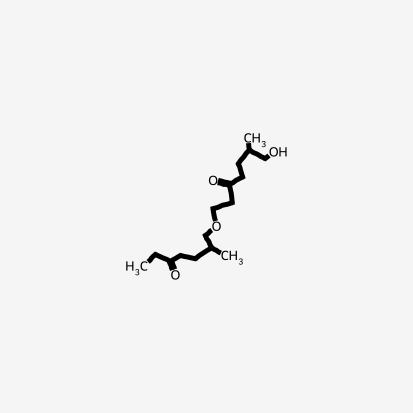 CCC(=O)CCC(C)COCCC(=O)CCC(C)CO